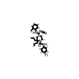 CCCC1(CCC)CN(/C(=N\C#N)Nc2ccccc2C)CCN1C(=O)Nc1ccc(Cl)cc1